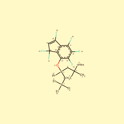 CCCCCCC(C)(C)C[Si](C[Si](CC)(CC)CC)(Oc1c(F)c(F)c(F)c2c1C(F)(F)[C]=C2F)C(C)C